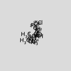 CC1CN(c2ncccc2C(=O)NS(=O)(=O)c2cccc(Oc3cc(Cl)ccc3F)n2)C(C)(C)C1